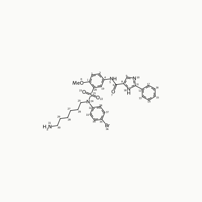 COc1ccc(NC(=O)c2cnc(-c3ccccc3)[nH]2)cc1S(=O)(=O)N(CCCCCCN)c1ccc(Br)cc1